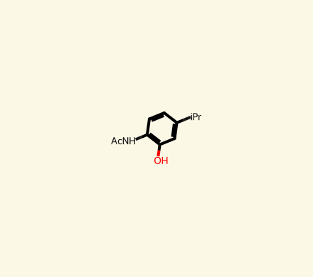 CC(=O)Nc1ccc(C(C)C)cc1O